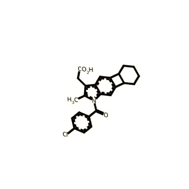 Cc1c(CC(=O)O)c2cc3c(cc2n1C(=O)c1ccc(Cl)cc1)C1CCCCC31